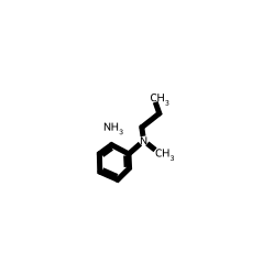 CCCN(C)c1ccccc1.N